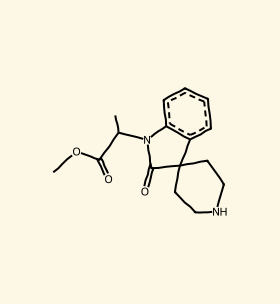 COC(=O)C(C)N1C(=O)C2(CCNCC2)c2ccccc21